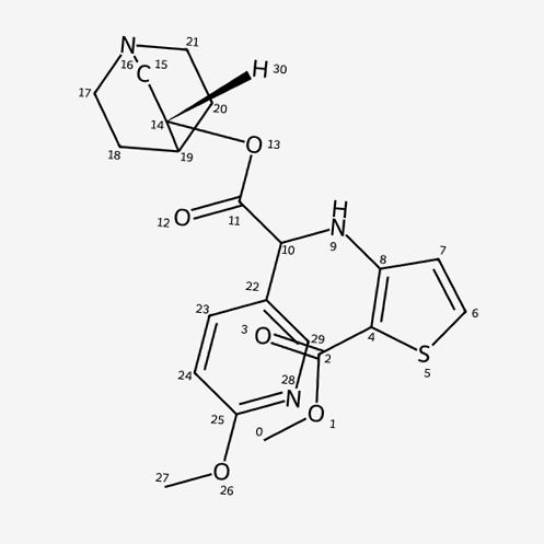 COC(=O)c1sccc1NC(C(=O)O[C@H]1CN2CCC1CC2)c1ccc(OC)nc1